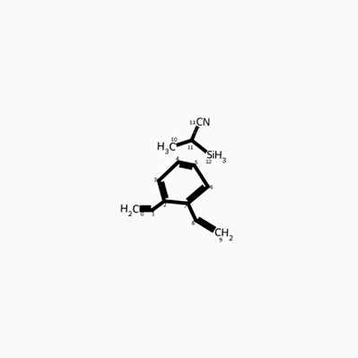 C=Cc1ccccc1C=C.CC([SiH3])C#N